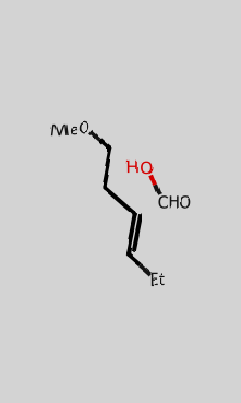 CCC=CCCOC.O=CO